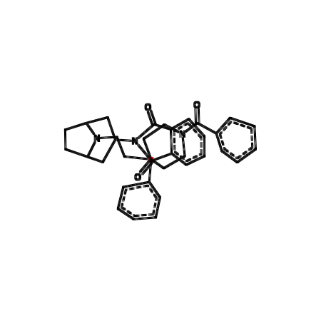 O=C(c1ccccc1)N1CCC(CCN2C3CCC2CC(N2C(=O)c4ccccc4C2=O)C3)(c2ccccc2)CC1